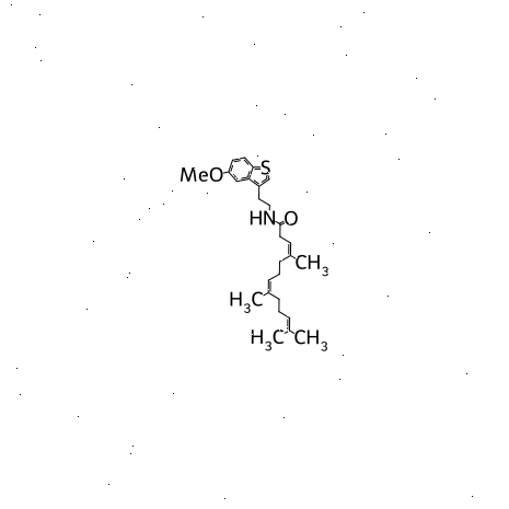 COc1ccc2scc(CCNC(=O)CC=C(C)CCC=C(C)CCC=C(C)C)c2c1